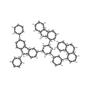 c1ccc(-c2ccc3c(c2)c2cc(-c4nc(-c5cccc(-c6cccc7ccc8ccccc8c67)c5)nc(-c5cccc6c5oc5ccccc56)n4)ccc2n3-c2ccccc2)cc1